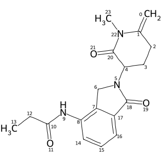 C=C1CCC(N2Cc3c(NC(=O)CC)cccc3C2=O)C(=O)N1C